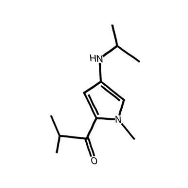 CC(C)Nc1cc(C(=O)C(C)C)n(C)c1